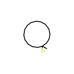 CC1(S)CCCCCCCCCCCCCCC1